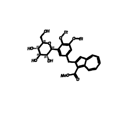 CCOc1cc(Cc2cc3cccccc-3c2C(=O)OC)cc([C@@H]2O[C@H](CO)[C@@H](O)[C@H](O)[C@H]2O)c1OCC